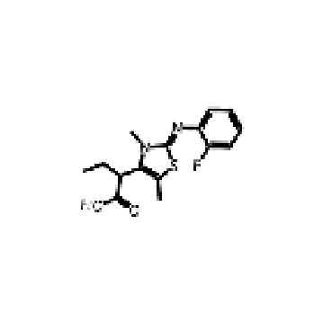 CCC(C(=O)O)c1c(C)sc(=Nc2ccccc2F)n1C